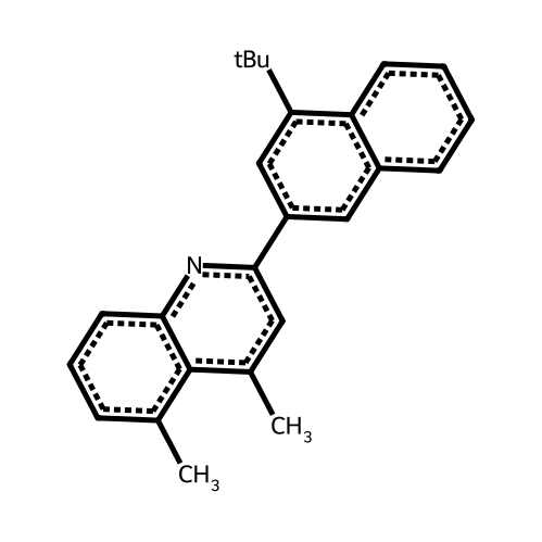 Cc1cccc2nc(-c3cc(C(C)(C)C)c4ccccc4c3)cc(C)c12